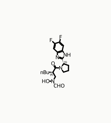 CCCC[C@H](CN(O)C=O)C(=O)N1CCC[C@H]1c1nc2cc(F)c(F)cc2[nH]1